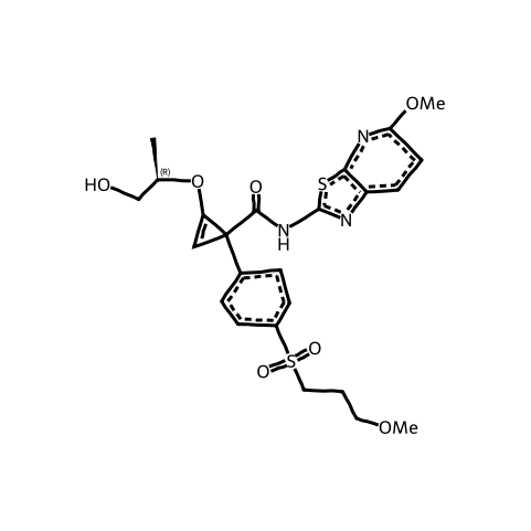 COCCCS(=O)(=O)c1ccc(C2(C(=O)Nc3nc4ccc(OC)nc4s3)C=C2O[C@H](C)CO)cc1